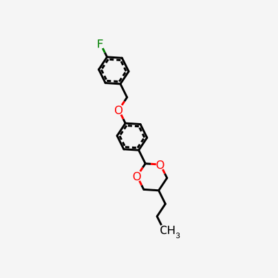 CCCC1COC(c2ccc(OCc3ccc(F)cc3)cc2)OC1